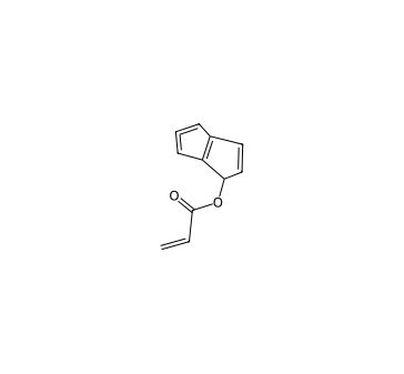 C=CC(=O)OC1C=CC2=C1C=C=C2